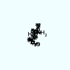 C=C(C=O)c1ccc2c(c1)c(-c1ccnc(Nc3cc(N)c(OCCN(C)C)cc3OC)n1)c1n2CCC1